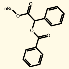 CCCCOC(=O)C(OC(=O)c1ccccc1)c1ccccc1